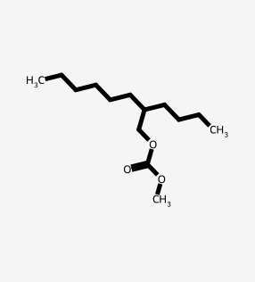 CCCCCCC(CCCC)COC(=O)OC